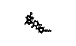 COc1ccc(CN2C(=O)CCN(c3nn(C)c4ccc(Br)c(F)c34)C2=O)cc1